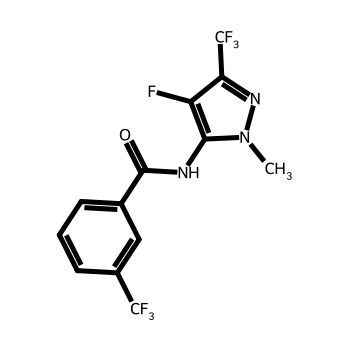 Cn1nc(C(F)(F)F)c(F)c1NC(=O)c1cccc(C(F)(F)F)c1